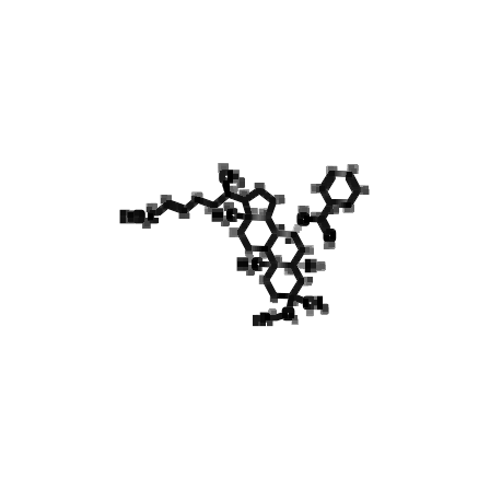 CCCOC1(C)CCC2(C)C3CCC4(C)C(CCC4[C@H](C)CC/C=C/C(=O)OCC)C3[C@H](OC(=O)c3ccccc3)C[C@H]2C1